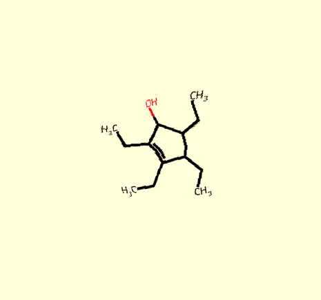 CCC1=C(CC)C(CC)C(CC)C1O